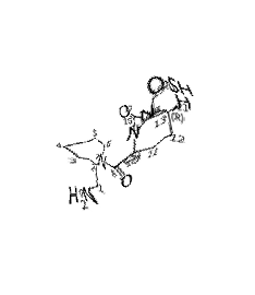 NCC1CCCCN1C(=O)[C@@H]1CC[C@@H]2CN1C(=O)N2OS